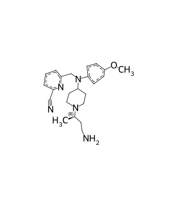 COc1ccc(N(Cc2cccc(C#N)n2)C2CCN([C@H](C)CCN)CC2)cc1